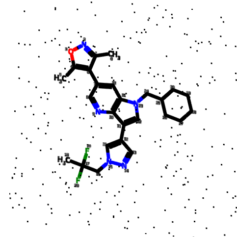 Cc1noc(C)c1-c1cnc2c(-c3cnn(CC(C)(F)F)c3)cn(CC3CCCCC3)c2c1